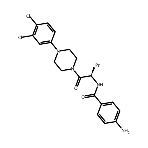 CC(C)[C@@H](NC(=O)c1ccc(N)cc1)C(=O)N1CCN(c2ccc(Cl)c(Cl)c2)CC1